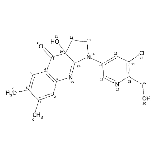 Cc1cc2c(cc1C)C(=O)C1(O)CCN(c3cnc(CO)c(Cl)c3)C1=N2